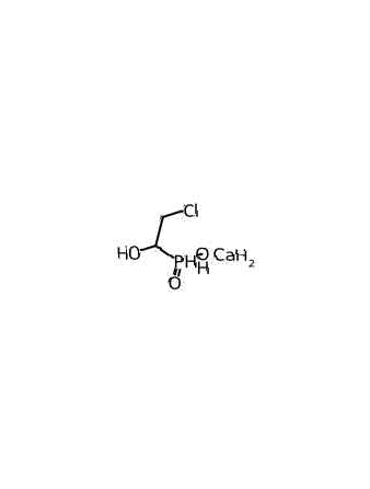 O=[PH](O)C(O)CCl.[CaH2]